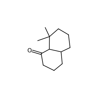 CC1(C)CCCC2CCCC(=O)C21